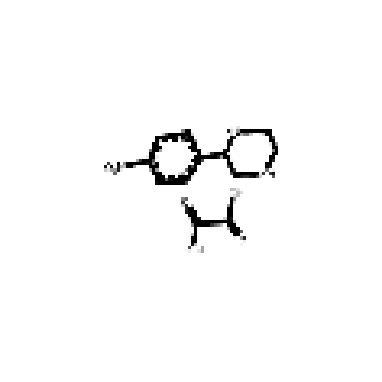 O=C(O)C(=O)O.O=[N+]([O-])c1ccc(C2CNCCN2)cc1